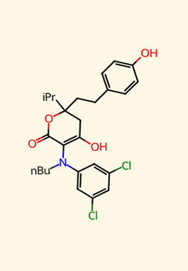 CCCCN(C1=C(O)CC(CCc2ccc(O)cc2)(C(C)C)OC1=O)c1cc(Cl)cc(Cl)c1